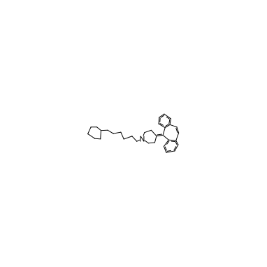 C1=Cc2ccccc2C(=C2CCN(CCCCCCC3CCCCC3)CC2)c2ccccc21